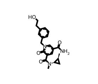 C[C@H]1C[C@@H]1N(C)C(=O)c1cc(C(N)=O)cn(Cc2cccc(CCO)c2)c1=O